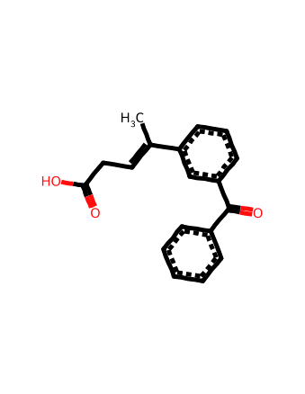 CC(=CCC(=O)O)c1cccc(C(=O)c2ccccc2)c1